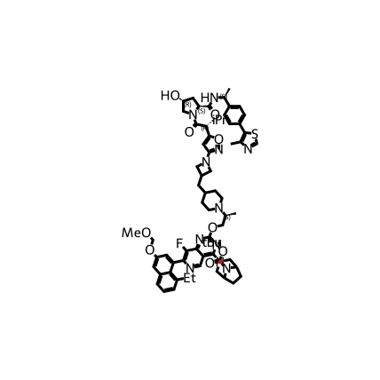 CCc1cccc2cc(OCOC)cc(-c3ncc4c(N5CC6CCC(C5)N6C(=O)OC(C)(C)C)nc(OC[C@H](C)N5CCC(CC6CN(c7cc([C@H](C(=O)N8C[C@H](O)C[C@H]8C(=O)N[C@@H](C)c8ccc(-c9scnc9C)cc8)C(C)C)on7)C6)CC5)nc4c3F)c12